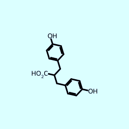 O=C(O)C(Cc1ccc(O)cc1)Cc1ccc(O)cc1